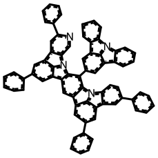 c1ccc(-c2ccc3c(c2)c2cc(-c4ccccc4)cc4c5cc6c7cc(-c8ccccc8)cc8c9cc(-c%10ccccc%10)ncc9n(c6c(-c6cc9c%10ccccc%10n%10c%11ccccc%11c(c6)c9%10)c5n3c24)c87)cc1